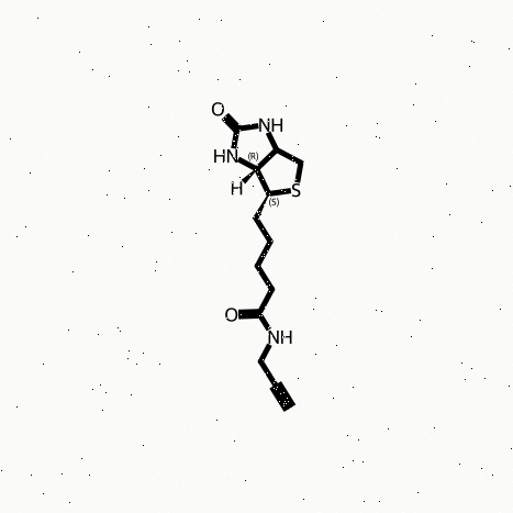 C#CCNC(=O)CCCC[C@@H]1SCC2NC(=O)N[C@H]21